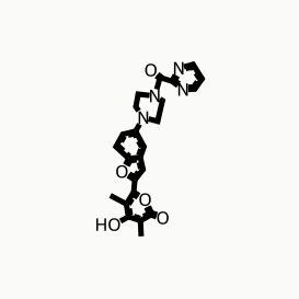 Cc1c(-c2cc3cc(N4CCN(C(=O)c5ncccn5)CC4)ccc3o2)oc(=O)c(C)c1O